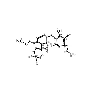 COCOc1ccc(Cc2c(C)cc(OCN)c(F)c2C)nc1C1(O)CCC(F)(F)CC1